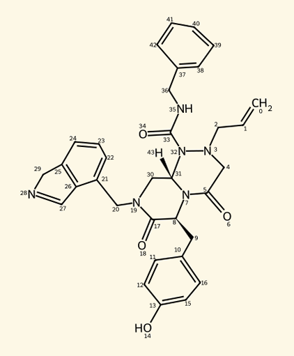 C=CCN1CC(=O)N2[C@@H](Cc3ccc(O)cc3)C(=O)N(Cc3cccc4c3C=NC4)C[C@@H]2N1C(=O)NCc1ccccc1